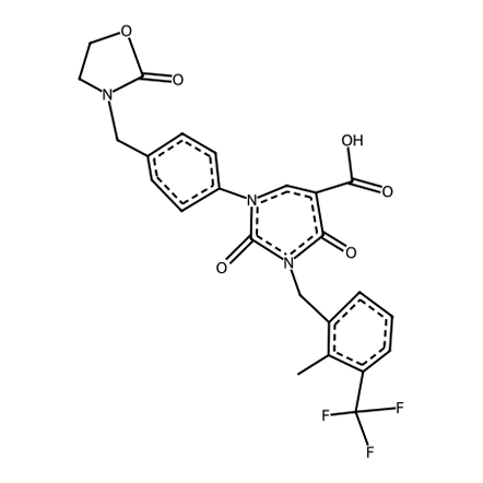 Cc1c(Cn2c(=O)c(C(=O)O)cn(-c3ccc(CN4CCOC4=O)cc3)c2=O)cccc1C(F)(F)F